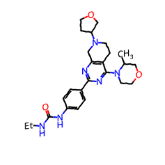 CCNC(=O)Nc1ccc(-c2nc3c(c(N4CCOCC4C)n2)CCN(C2CCOC2)C3)cc1